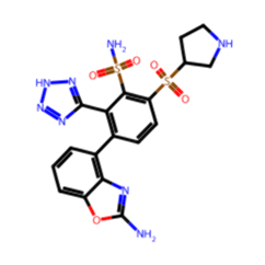 Nc1nc2c(-c3ccc(S(=O)(=O)C4CCNC4)c(S(N)(=O)=O)c3-c3nn[nH]n3)cccc2o1